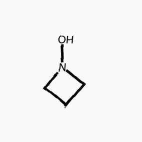 ON1C[CH]C1